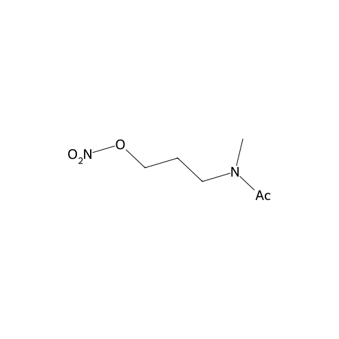 [CH2]C(=O)N(C)CCCO[N+](=O)[O-]